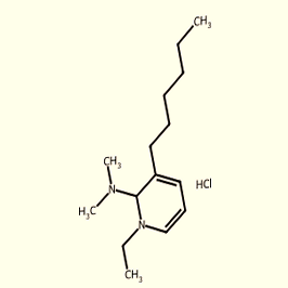 CCCCCCC1=CC=CN(CC)C1N(C)C.Cl